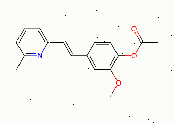 COc1cc(C=Cc2cccc(C)n2)ccc1OC(C)=O